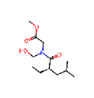 CC[C@H](CC(C)C)C(=O)N(CO)CC(=O)OC